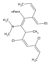 C\C=C/C(=C\CC)C(/CCCCC)=C(\C(C)/C(Cl)=C\C(Cl)=C/C)N(C)C